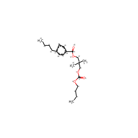 CCCCOC(=O)OCC(C)(C)COC(=O)c1ccc(CCCC)cc1